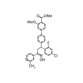 COC(=O)c1ccc(-c2ccc(C(CC(=NO)c3ccnc(C)c3)c3ccc(Cl)cc3F)cc2)cc1OC